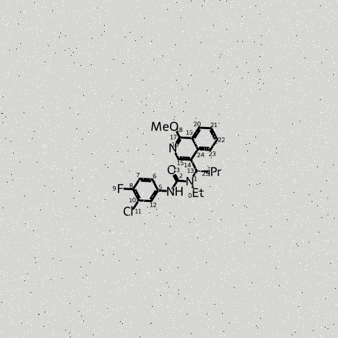 CCN(C(=O)Nc1ccc(F)c(Cl)c1)[C@@H](c1cnc(OC)c2ccccc12)C(C)C